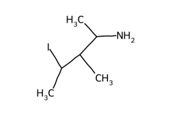 CC(N)C(C)C(C)I